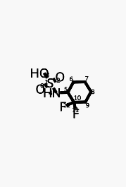 O=S(=O)(O)NC1CCCCC1(F)F